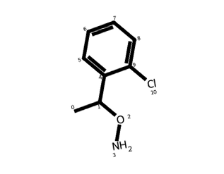 CC(ON)c1ccccc1Cl